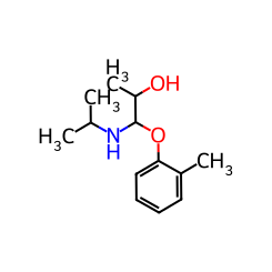 Cc1ccccc1OC(NC(C)C)C(C)O